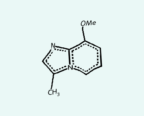 COc1cccn2c(C)cnc12